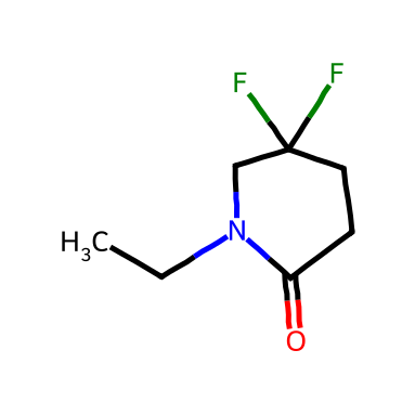 CCN1CC(F)(F)CCC1=O